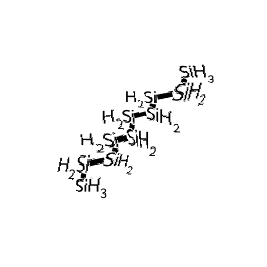 [SiH3][SiH2][SiH2][SiH2][SiH2][SiH2][SiH2][SiH2][SiH2][SiH3]